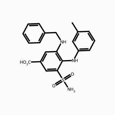 Cc1cccc(Nc2c(NCc3ccccc3)cc(C(=O)O)cc2S(N)(=O)=O)c1